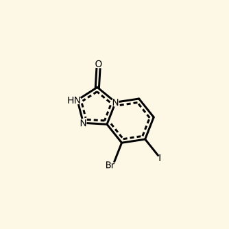 O=c1[nH]nc2c(Br)c(I)ccn12